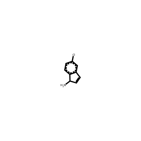 NC1C=Cc2cc(Cl)ccc21